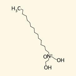 CCCCCCCCCCCCCCCC[N+]([O-])(CCO)CCO